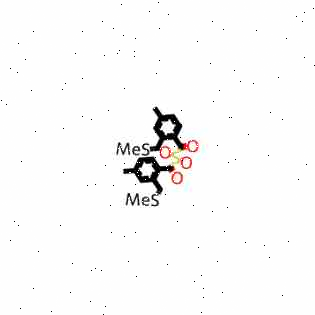 CSCc1cc(C)ccc1C(=O)S(=O)(=O)C(=O)c1ccc(C)cc1CSC